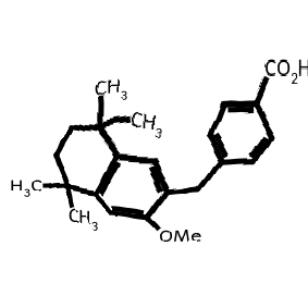 COc1cc2c(cc1Cc1ccc(C(=O)O)cc1)C(C)(C)CCC2(C)C